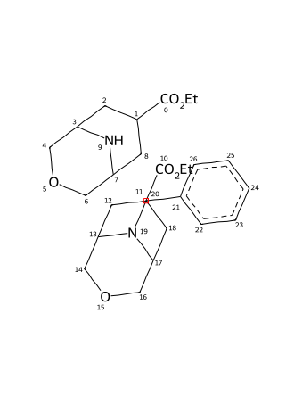 CCOC(=O)C1CC2COCC(C1)N2.CCOC(=O)C1CC2COCC(C1)N2Cc1ccccc1